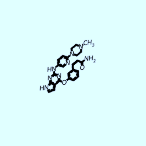 CN1CCN(c2ccc(Nc3nc(Oc4cccc(C=CC(N)=O)c4)c4cc[nH]c4n3)cn2)CC1